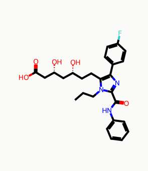 CCCn1c(C(=O)Nc2ccccc2)nc(-c2ccc(F)cc2)c1CC[C@@H](O)C[C@@H](O)CC(=O)O